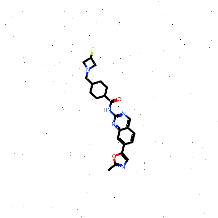 Cc1ncc(-c2ccc3cnc(NC(=O)C4CCC(CN5CC(F)C5)CC4)nc3c2)o1